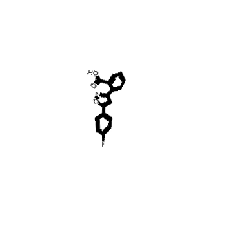 O=C(O)c1ccccc1-c1cc(-c2ccc(F)cc2)on1